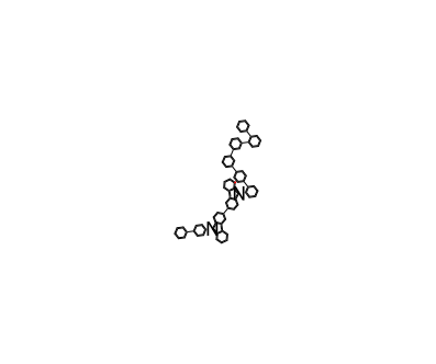 c1ccc(-c2ccc(-n3c4ccccc4c4cc(-c5ccc6c(c5)c5ccccc5n6-c5ccccc5-c5ccc(-c6cccc(-c7cccc(-c8ccccc8-c8ccccc8)c7)c6)cc5)ccc43)cc2)cc1